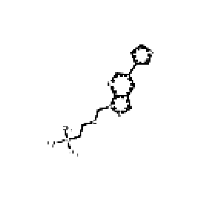 C[Si](C)(C)CCOCn1ncc2cc(-c3ccsc3)cnc21